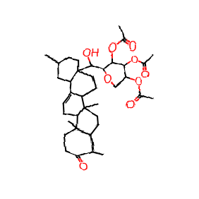 CC(=O)OC1COC(C(O)C23CCC(C)CC2C2=CCC4C(C)(CCC5C(C)C(=O)CCC54C)C2CC3)C(OC(C)=O)C1OC(C)=O